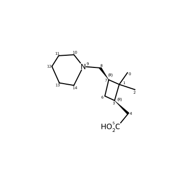 CC1(C)[C@@H](CC(=O)O)C[C@H]1CN1CCCCC1